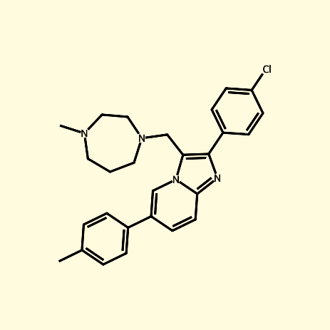 Cc1ccc(-c2ccc3nc(-c4ccc(Cl)cc4)c(CN4CCCN(C)CC4)n3c2)cc1